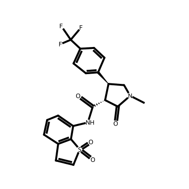 CN1C[C@H](c2ccc(C(F)(F)F)cc2)[C@@H](C(=O)Nc2cccc3c2S(=O)(=O)C=C3)C1=O